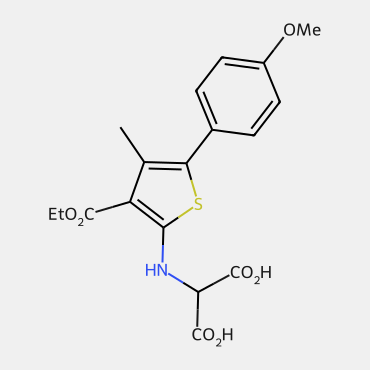 CCOC(=O)c1c(NC(C(=O)O)C(=O)O)sc(-c2ccc(OC)cc2)c1C